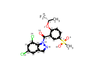 C[C@H](Oc1ccc(S(C)(=O)=O)cc1C(=O)n1ncc2cc(Cl)cc(Cl)c21)C(F)(F)F